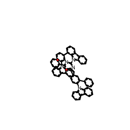 c1ccc(-c2nc(-c3ccc(-n4c5ccccc5c5ccccc54)c(-c4ccccc4)c3)nc(-n3c4ccccc4c4cccc(-c5cccc(-n6c7ccccc7c7ccccc76)c5)c43)n2)cc1